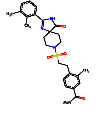 CNC(=O)c1ccc(CCS(=O)(=O)N2CCC3(CC2)N=C(c2cccc(C)c2C)NC3=O)c(C)c1